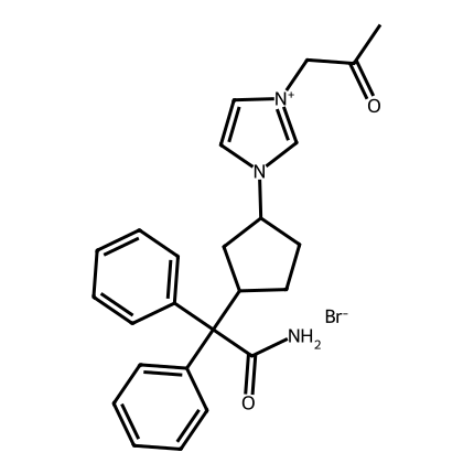 CC(=O)C[n+]1ccn(C2CCC(C(C(N)=O)(c3ccccc3)c3ccccc3)C2)c1.[Br-]